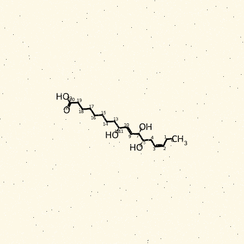 CC/C=C\C[C@H](O)[C@@H](O)/C=C/[C@@H](O)CCCCCCCC(=O)O